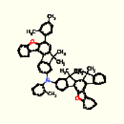 Cc1ccc(-c2cc3c(c4c2oc2ccccc24)-c2ccc(N(c4ccc5c(c4)C(C)(C)c4c6c(c7c(oc8ccccc87)c4-5)-c4ccccc4C6(C)C)c4ccccc4C)cc2C3(C)C)c(C)c1